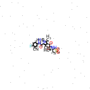 C#C[C@@]1(NC(=O)C(=O)c2c(C)c(C(=O)Nc3ccc(F)c(C#N)c3)n(C)c2C)CCS(=O)(=O)C1